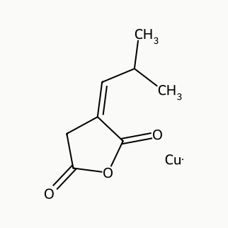 CC(C)C=C1CC(=O)OC1=O.[Cu]